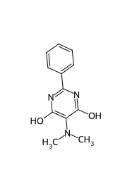 CN(C)c1c(O)nc(-c2ccccc2)nc1O